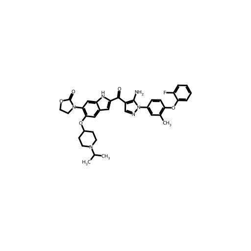 Cc1cc(-n2ncc(C(=O)c3cc4cc(OC5CCN(C(C)C)CC5)c(N5CCOC5=O)cc4[nH]3)c2N)ccc1Oc1ccccc1F